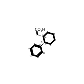 O=C(O)C[C@@H]1CCCC[C@@H]1c1ccccc1